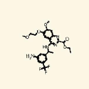 CCOC(=O)c1nc(NC(C)c2cc(N)cc(C(F)(F)F)c2)c2cc(OCCOC)c(OC)cc2n1